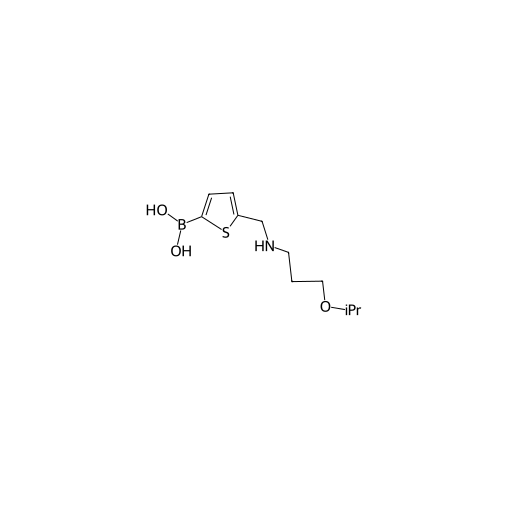 CC(C)OCCCNCc1ccc(B(O)O)s1